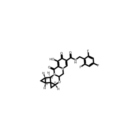 O=C(NCc1c(F)cc(F)cc1F)c1cn2c(c(O)c1=O)C(=O)N1C(C2)O[C@@H]2CC23[C@@H]2C[C@@H]2[C@@H]13